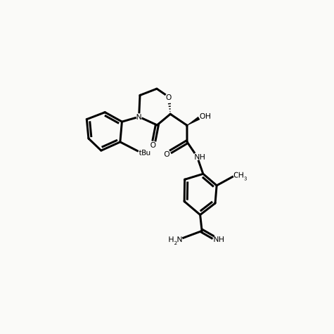 Cc1cc(C(=N)N)ccc1NC(=O)[C@H](O)[C@H]1OCCN(c2ccccc2C(C)(C)C)C1=O